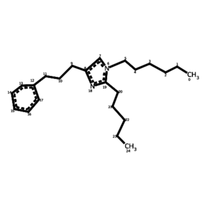 CCCCCCn1cc(CCCc2ccccc2)nc1CCCCC